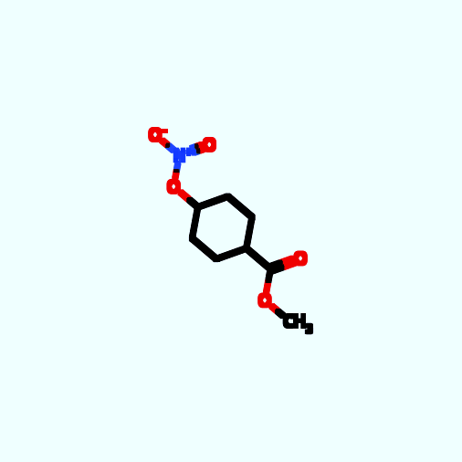 COC(=O)C1CCC(O[N+](=O)[O-])CC1